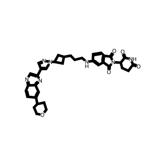 O=C1CCC(N2C(=O)c3ccc(NCCCC4CC(n5cc(-c6cnc7ccc(C8CCOCC8)cc7n6)cn5)C4)cc3C2=O)C(=O)N1